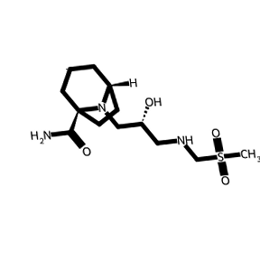 CS(=O)(=O)CNC[C@@H](O)CN1[C@@H]2C[CH]C[C@@]1(C(N)=O)CC2